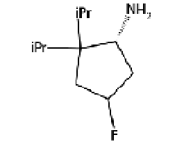 CC(C)C1(C(C)C)CC(F)C[C@H]1N